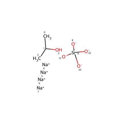 CC(C)O.[Na+].[Na+].[Na+].[Na+].[O-][Si]([O-])([O-])[O-]